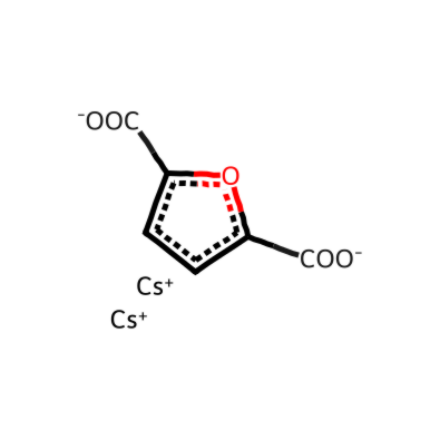 O=C([O-])c1ccc(C(=O)[O-])o1.[Cs+].[Cs+]